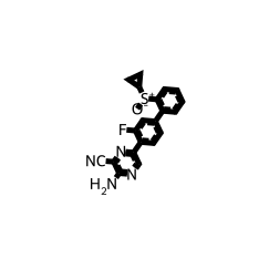 N#Cc1nc(-c2ccc(-c3ccccc3[S+]([O-])C3CC3)cc2F)cnc1N